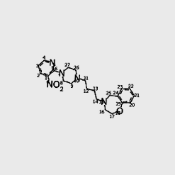 O=[N+]([O-])c1cccnc1N1CCN(CCCCN2CCOc3ccccc3C2)CC1